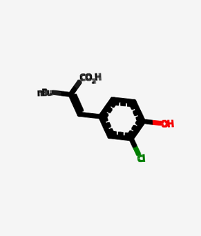 CCCCC(=Cc1ccc(O)c(Cl)c1)C(=O)O